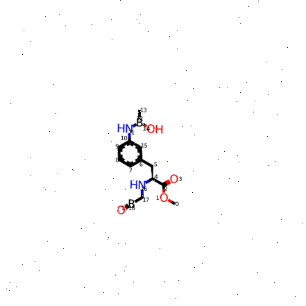 COC(=O)[C@H](Cc1cccc(NB(C)O)c1)NCB=O